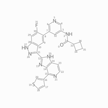 O=C(Nc1cncc(-c2cc3c(-c4nc5c(-c6ccsc6)nccc5[nH]4)n[nH]c3cc2F)c1)C1CCC1